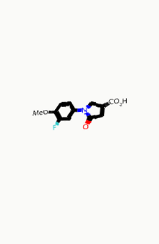 COc1ccc(N2CC(C(=O)O)CC2=O)cc1F